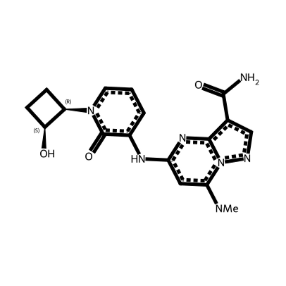 CNc1cc(Nc2cccn([C@@H]3CC[C@@H]3O)c2=O)nc2c(C(N)=O)cnn12